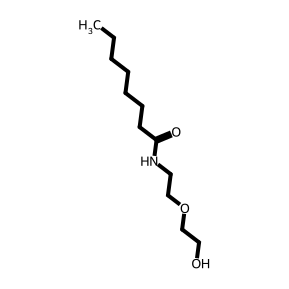 CCCCCCCC(=O)NCCOCCO